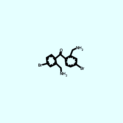 NCc1cc(Br)ccc1C(=O)c1ccc(Br)cc1CN